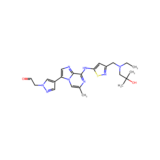 CCN(Cc1cc(Nc2nc(C)cn3c(-c4cnn(CC=O)c4)cnc23)sn1)CC(C)(C)O